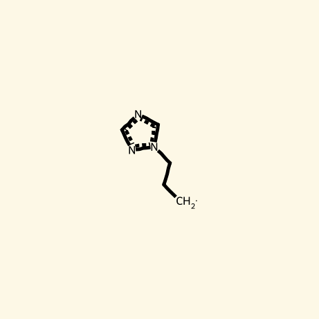 [CH2]CCn1cncn1